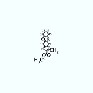 CCOC(=O)C1=C(C)c2ccc(Oc3ccccc3)cc2C1